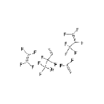 C=C(F)F.C=CC(F)(F)C(F)(F)Br.FC(F)=C(F)C(F)(F)F.FC(F)=C(F)F